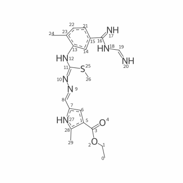 CCOC(=O)c1cc(/C=N/N=C(/Nc2cc(C(=N)NC=N)ccc2C)SC)[nH]c1C